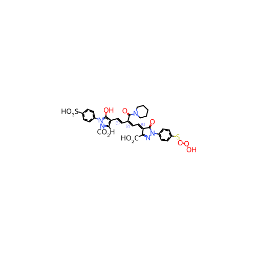 O=C(O)C1=NN(c2ccc(SOOO)cc2)C(=O)/C1=C/C=C(/C=C/c1c(C(=O)O)nn(-c2ccc(S(=O)(=O)O)cc2)c1O)C(=O)N1CCCCC1